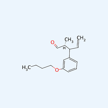 C=CC(c1cccc(OCCCC)c1)[C@@H](C)C=O